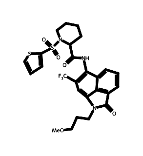 COCCCN1C(=O)c2cccc3c(NC(=O)C4CCCCN4S(=O)(=O)c4cccs4)c(C(F)(F)F)cc1c23